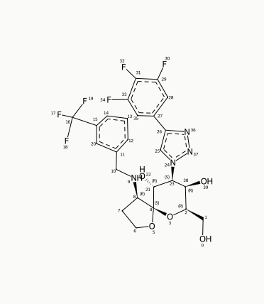 OC[C@H]1O[C@]2(OCC[C@H]2NCc2cccc(C(F)(F)F)c2)[C@H](O)[C@@H](n2cc(-c3cc(F)c(F)c(F)c3)nn2)[C@H]1O